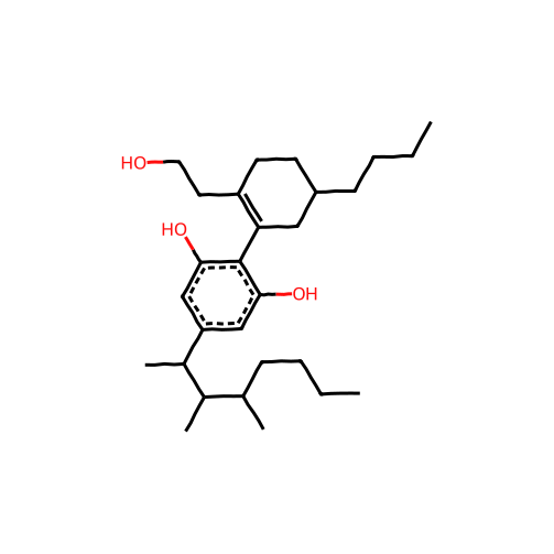 CCCCC1CCC(CCO)=C(c2c(O)cc(C(C)C(C)C(C)CCCC)cc2O)C1